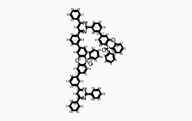 O=P1(c2ccccc2)c2ccccc2Oc2cc(-c3cccc(-c4nc(-c5ccccc5)cc(-c5cccc(-c6ccc7c(c6)Oc6cc(-c8cccc(-c9cc(-c%10ccccc%10)nc(-c%10ccccc%10)n9)c8)ccc6P7(=O)c6ccccc6)c5)n4)c3)ccc21